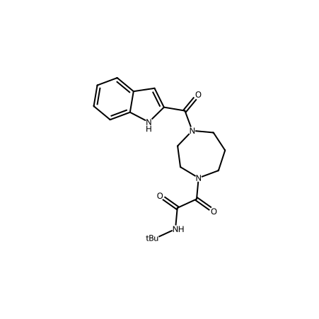 CC(C)(C)NC(=O)C(=O)N1CCCN(C(=O)c2cc3ccccc3[nH]2)CC1